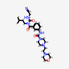 CC(C)CCN(C(=O)NCC#N)C(=O)c1cccc(NC(=O)N2CCN(CCN3CCOCC3)CC2)c1